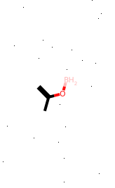 BOC(=C)C